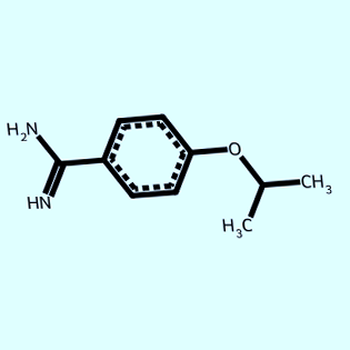 CC(C)Oc1ccc(C(=N)N)cc1